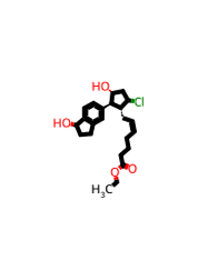 CCOC(=O)CCC/C=C\C[C@H]1C(Cl)C[C@@H](O)[C@@H]1c1ccc2c(c1)CCC2O